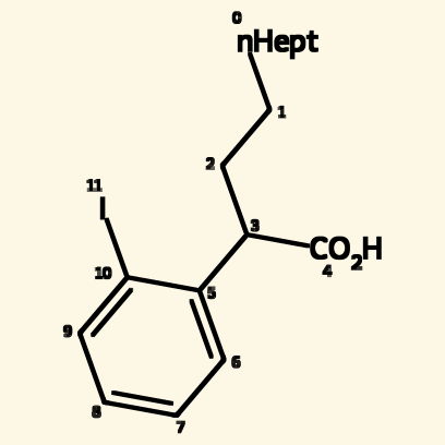 CCCCCCCCCC(C(=O)O)c1ccccc1I